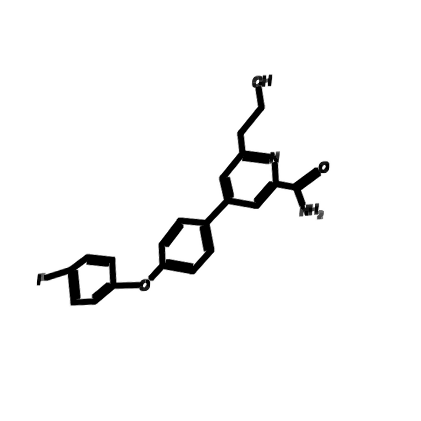 NC(=O)c1cc(-c2ccc(Oc3ccc(F)cc3)cc2)cc(CCO)n1